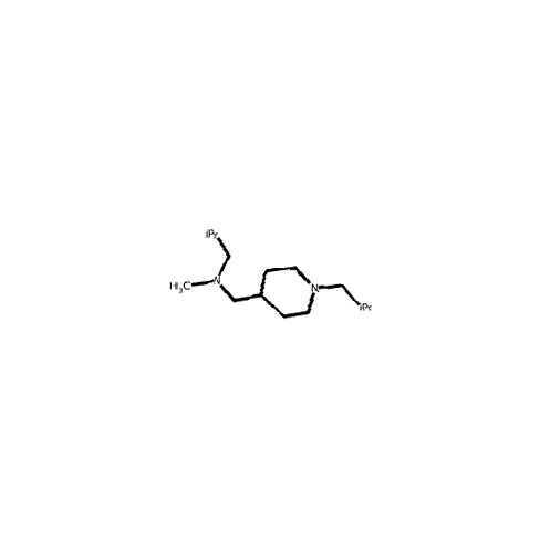 CC(C)CN(C)CC1CCN(CC(C)C)CC1